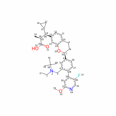 CCN(Cc1cc([C@@H]2CCc3ccc([C@H](C4CC4)[C@H](C)C(=O)O)cc3O2)ccc1-c1cc(OC)ncc1F)C(C)(C)C